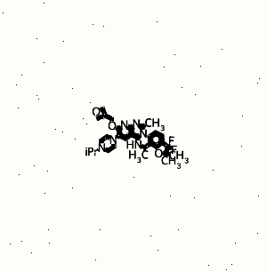 Cc1nc(N[C@H](C)c2cccc3c2OC(C)(C)C3(F)F)c2cc(N3CCN(C(C)C)CC3)c(OCC3COC3)nc2n1